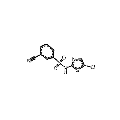 N#Cc1cccc(S(=O)(=O)Nc2ncc(Cl)s2)c1